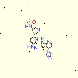 Cc1cn(-c2ccnc3[nH]c(-c4n[nH]c5ccc(-c6cncc(NC(=O)C(C)(C)C)c6)nc45)cc23)cn1